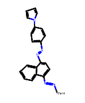 CCCCCN=Nc1ccc(N=Nc2ccc(-n3cccc3)cc2)c2ccccc12